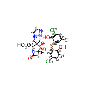 C[C@]1(Cn2ccnn2)[C@H](C(=O)O)N2C(=O)C[C@H]2S1(=O)=O.Oc1c(Cl)cc(Cl)cc1Sc1cc(Cl)cc(Cl)c1O